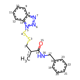 CC(CSSn1nnc2ccccc21)C(=O)NCc1ccccc1